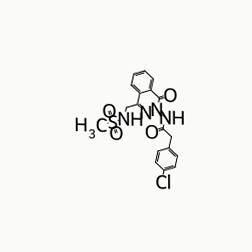 CS(=O)(=O)NCc1nn(NC(=O)Cc2ccc(Cl)cc2)c(=O)c2ccccc12